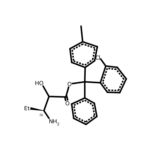 CC[C@H](N)C(O)C(=O)OC(c1ccccc1)(c1ccc(C)cc1)c1ccccc1Cl